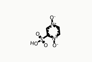 O=S(=O)(O)c1c[n+]([O-])cc[n+]1[O-]